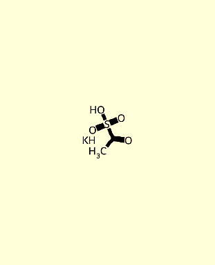 CC(=O)S(=O)(=O)O.[KH]